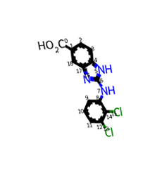 O=C(O)c1ccc2[nH]c(Nc3cccc(Cl)c3Cl)nc2c1